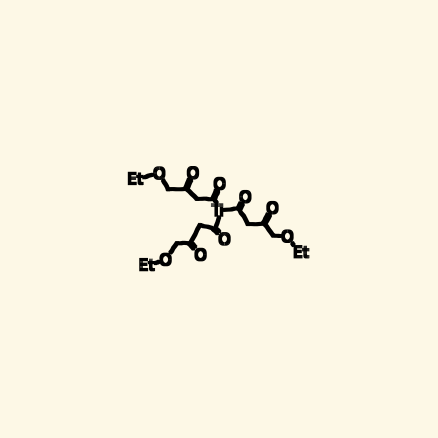 CCOCC(=O)C[C](=O)[Ti]([C](=O)CC(=O)COCC)[C](=O)CC(=O)COCC